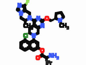 CC(C)C(N)C(=O)Oc1cc(N2CCc3c(nc(OC[C@@H]4CCCN4C)nc3N3Cc4c(F)ncn4CC3C)C2)c2c(Cl)cccc2c1